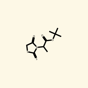 CC(C(=O)OC(C)(C)C)N1C(=O)CSC1=S